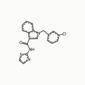 O=C(Nc1nccs1)c1cn(Cc2cccc(Cl)c2)c2ccccc12